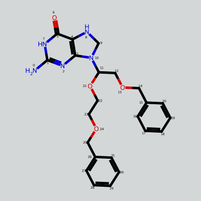 Nc1nc2c(c(=O)[nH]1)NCN2C(COCc1ccccc1)OCCOCc1ccccc1